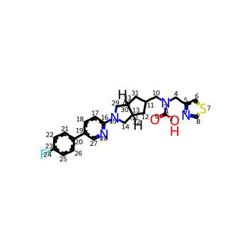 O=C(O)N(Cc1cscn1)CC1C[C@@H]2CN(c3ccc(-c4ccc(F)cc4)cn3)C[C@@H]2C1